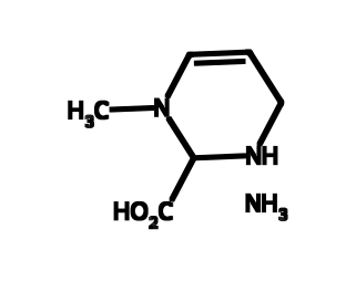 CN1C=CCNC1C(=O)O.N